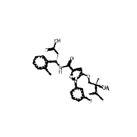 Cc1ccccc1[C@H](CC(=O)O)NC(=O)c1cc(OC[C@](C)(O)C(C)C)n(-c2cccc(F)c2)n1